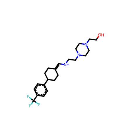 OCCN1CCN(CCNC=C2CCC(c3ccc(C(F)(F)F)cc3)CC2)CC1